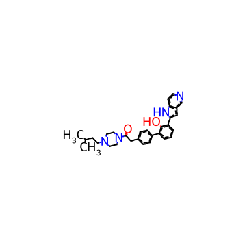 CC(C)CCN1CCN(C(=O)Cc2ccc(-c3cccc(-c4cc5cnccc5[nH]4)c3O)cc2)CC1